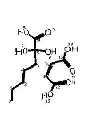 CCCCCC(O)(O)C(=O)O.O=C(O)/C=C\C(=O)O